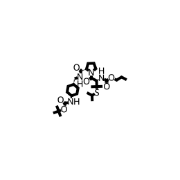 CCCOC(=O)N[C@@H](C(=O)N1CCC[C@H]1C(=O)NC[C@H]1CC[C@H](NC(=O)OC(C)(C)C)CC1)C(C)(C)SC(C)C